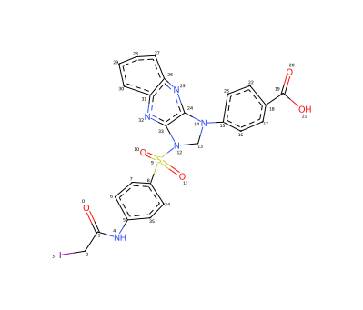 O=C(CI)Nc1ccc(S(=O)(=O)N2CN(c3ccc(C(=O)O)cc3)c3nc4ccccc4nc32)cc1